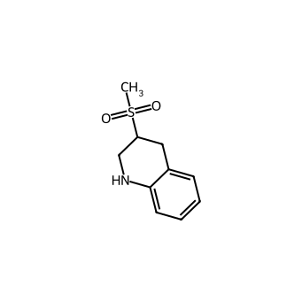 CS(=O)(=O)C1CNc2ccccc2C1